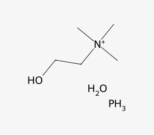 C[N+](C)(C)CCO.O.P